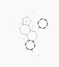 C[C@]12CC[C@@H]3c4ccc(O)cc4C[C@H](c4ccccc4)[C@H]3[C@@H]1C[C@@H](O)C2